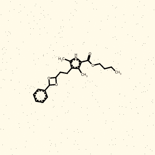 CCCCOC(=O)c1[nH]c(C)c(CCC2OC(c3ccccc3)O2)c1C